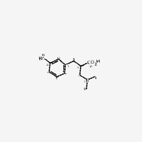 CN(C)CC(Cc1cccc(Br)c1)C(=O)O